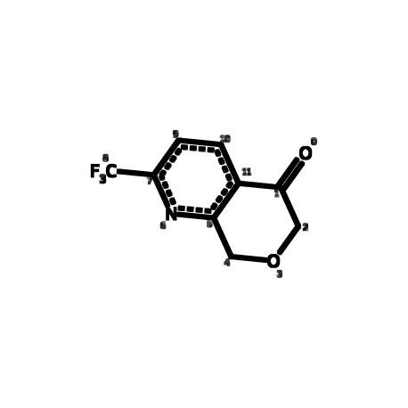 O=C1COCc2nc(C(F)(F)F)ccc21